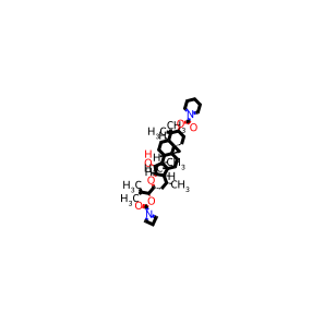 CC(C)[C@@H](OC(=O)N1CCC1)[C@H]1C[C@@H](C)[C@H]2[C@H](O1)[C@H](O)[C@@]1(C)[C@@H]3CC[C@H]4C(C)(C)[C@@H](OC(=O)N5CCCCC5)CC[C@@]45C[C@@]35CC[C@]21C